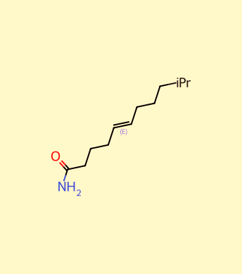 CC(C)CCC/C=C/CCCC(N)=O